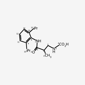 CC(CNC(=O)O)C(=O)Nc1c(C(C)C)cccc1C(C)C